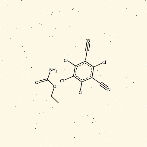 CCOC(N)=O.N#Cc1c(Cl)c(Cl)c(Cl)c(C#N)c1Cl